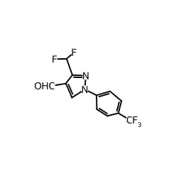 O=Cc1cn(-c2ccc(C(F)(F)F)cc2)nc1C(F)F